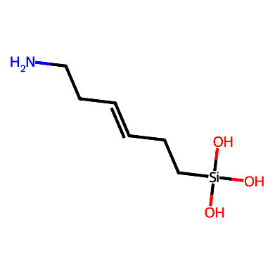 NCC/C=C/CC[Si](O)(O)O